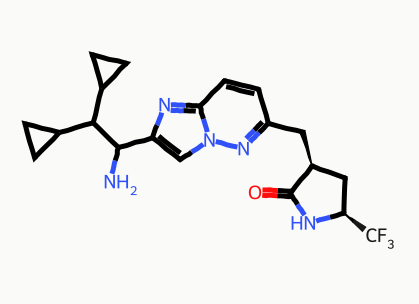 NC(c1cn2nc(C[C@H]3C[C@@H](C(F)(F)F)NC3=O)ccc2n1)C(C1CC1)C1CC1